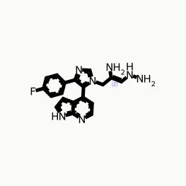 NN/C=C(\N)Cn1cnc(-c2ccc(F)cc2)c1-c1ccnc2[nH]ccc12